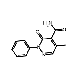 Cc1cnn(-c2ccccc2)c(=O)c1C(N)=O